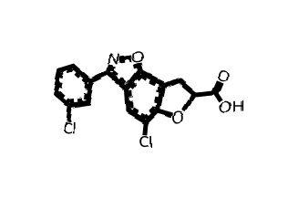 O=C(O)C1Cc2c(c(Cl)cc3c(-c4cccc(Cl)c4)noc23)O1